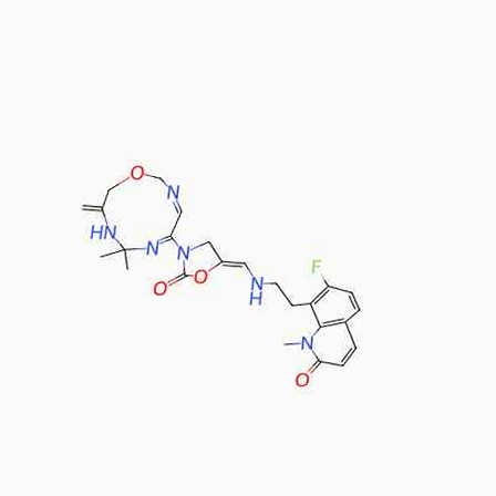 C=C1COC/N=C\C(N2C/C(=C/NCCc3c(F)ccc4ccc(=O)n(C)c34)OC2=O)=N/C(C)(C)N1